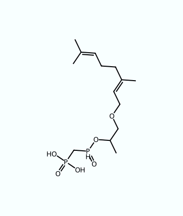 CC(C)=CCCC(C)=CCOCC(C)O[PH](=O)CP(=O)(O)O